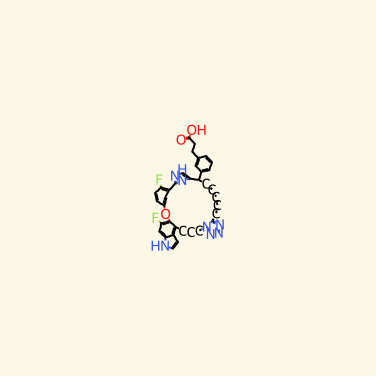 O=C(O)CCc1cccc(C2CCCCCc3nnnn3CCCc3c(c(F)cc4[nH]ccc34)Oc3ccc(F)c(c3)-c3ncc2[nH]3)c1